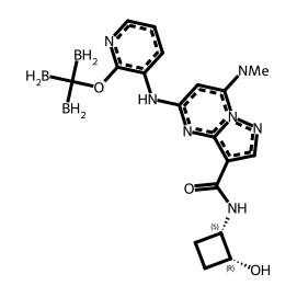 BC(B)(B)Oc1ncccc1Nc1cc(NC)n2ncc(C(=O)N[C@H]3CC[C@H]3O)c2n1